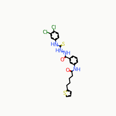 O=C(CCCCc1cccs1)Nc1cccc(C(=O)NNC(=S)Nc2ccc(Cl)c(Cl)c2)c1